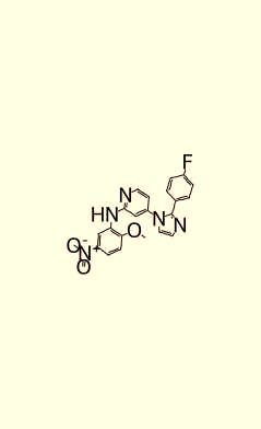 COc1ccc([N+](=O)[O-])cc1Nc1cc(-n2ccnc2-c2ccc(F)cc2)ccn1